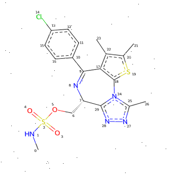 CNS(=O)(=O)OC[C@@H]1N=C(c2ccc(Cl)cc2)c2c(sc(C)c2C)-n2c(C)nnc21